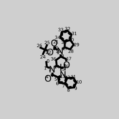 CCN(C(=O)c1cc2ccccc2[nH]1)C1COCC(N(C(=O)OC(C)(C)C)C2CCc3ccccc32)C1